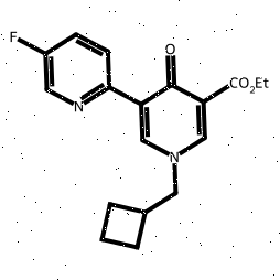 CCOC(=O)c1cn(CC2CCC2)cc(-c2ccc(F)cn2)c1=O